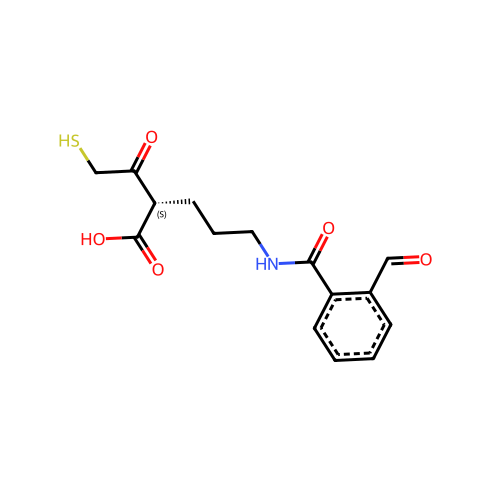 O=Cc1ccccc1C(=O)NCCC[C@H](C(=O)O)C(=O)CS